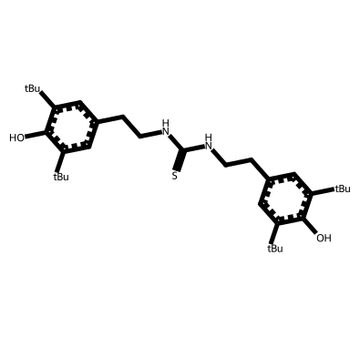 CC(C)(C)c1cc(CCNC(=S)NCCc2cc(C(C)(C)C)c(O)c(C(C)(C)C)c2)cc(C(C)(C)C)c1O